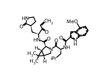 C=CC(=O)[C@H](C[C@@H]1CCNC1=O)NC(=O)[C@@H]1[C@@H]2[C@H](CN1C(=O)[C@H](CC(C)C)NC(=O)c1cc3c(OC)cccc3[nH]1)C2(C)C